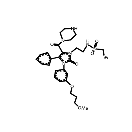 COCCCOc1cccc(-n2c(-c3ccccc3)c(C(=O)N3CCNCC3)n(CCNS(=O)(=O)CC(C)C)c2=O)c1